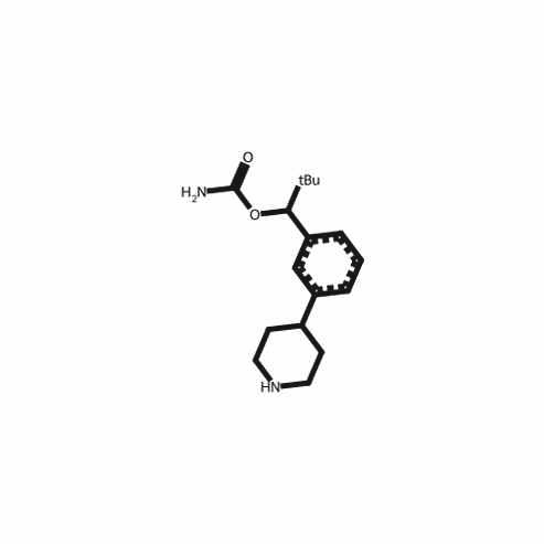 CC(C)(C)C(OC(N)=O)c1cccc(C2CCNCC2)c1